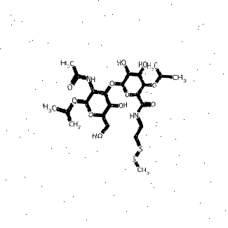 CSSCCNC(=O)C1OC(OC2C(O)C(CO)OC(OC(C)C)C2NC(C)=O)C(O)C(O)C1OC(C)C